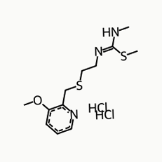 CN/C(=N/CCSCc1ncccc1OC)SC.Cl.Cl